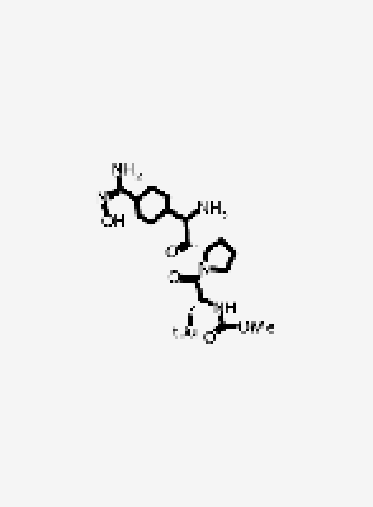 COC(=O)N[C@H](CC(C)(C)C)C(=O)N1CCC[C@H]1C(=O)C(N)C1CCC(/C(N)=N\O)CC1